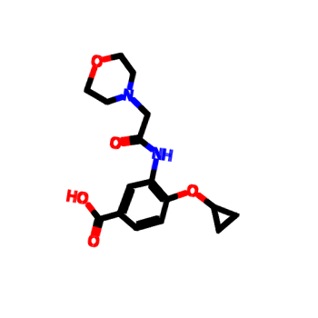 O=C(CN1CCOCC1)Nc1cc(C(=O)O)ccc1OC1CC1